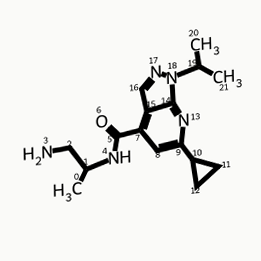 CC(CN)NC(=O)c1cc(C2CC2)nc2c1cnn2C(C)C